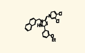 CCOc1cccc(C2NN(Cc3ccc4ccccc4c3)C(=CN3C=C(Cl)C(Cl)=CC3)S2)c1